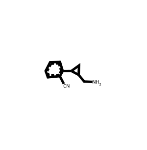 N#Cc1ccccc1C1CC1CN